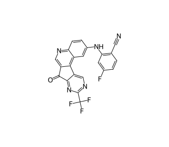 N#Cc1ccc(F)cc1Nc1ccc2ncc3c(c2c1)-c1cnc(C(F)(F)F)nc1C3=O